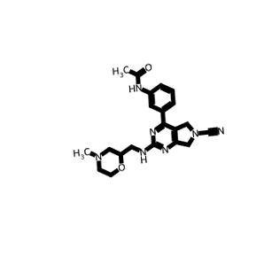 CC(=O)Nc1cccc(-c2nc(NCC3CN(C)CCO3)nc3c2CN(C#N)C3)c1